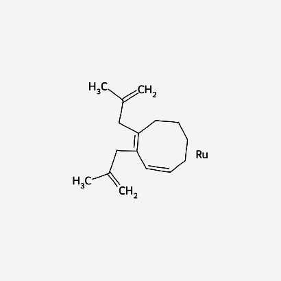 C=C(C)CC1=C(CC(=C)C)CCCCC=C1.[Ru]